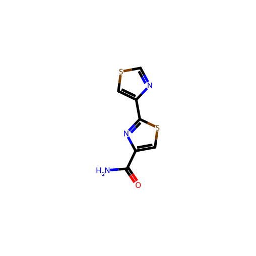 NC(=O)c1csc(-c2cscn2)n1